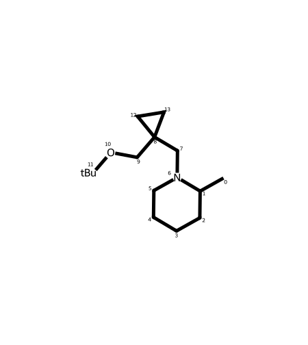 CC1CCCCN1CC1(COC(C)(C)C)CC1